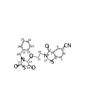 N#Cc1ccc2c(c1)C(=O)N(CCOC1C(=O)SC(=O)N1Cc1ccccc1)CS2